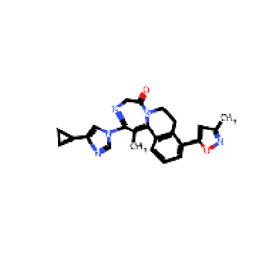 CC1=C2c3cccc(-c4cc(C)no4)c3CCN2C(=O)CN=C1n1cnc(C2CC2)c1